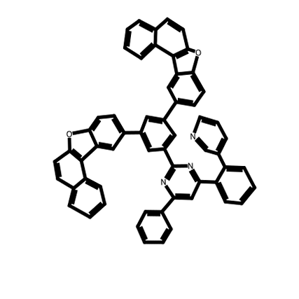 c1ccc(-c2cc(-c3ccccc3-c3cccnc3)nc(-c3cc(-c4ccc5oc6ccc7ccccc7c6c5c4)cc(-c4ccc5oc6ccc7ccccc7c6c5c4)c3)n2)cc1